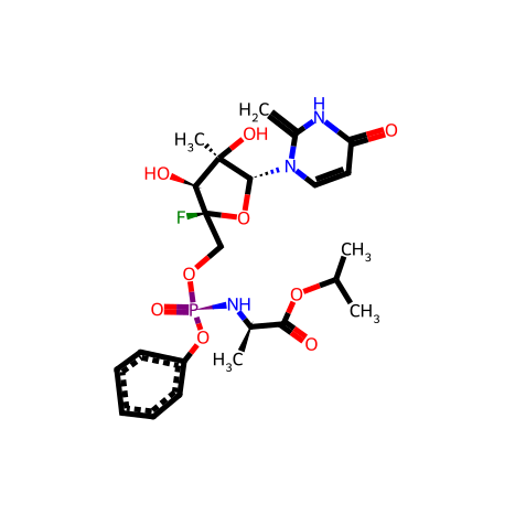 C=C1NC(=O)C=CN1[C@@H]1O[C@](F)(CO[P@](=O)(N[C@H](C)C(=O)OC(C)C)Oc2ccccc2)[C@@H](O)[C@@]1(C)O